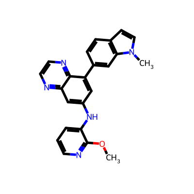 COc1ncccc1Nc1cc(-c2ccc3ccn(C)c3c2)c2nccnc2c1